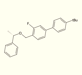 C[C@H](OCc1ccc(-c2ccc(C(C)(C)C)cc2)cc1F)c1ccccc1